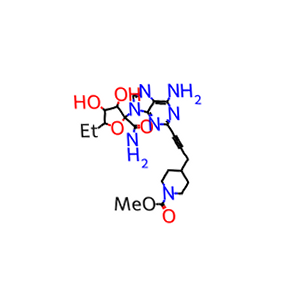 CCC1OC(C(N)=O)(n2cnc3c(N)nc(C#CCC4CCN(C(=O)OC)CC4)nc32)C(O)C1O